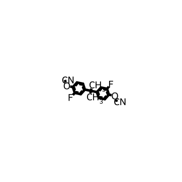 CC(C)(c1ccc(OC#N)c(F)c1)c1ccc(OC#N)c(F)c1